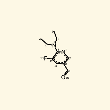 CCN(CC)c1ncc(C=O)cc1F